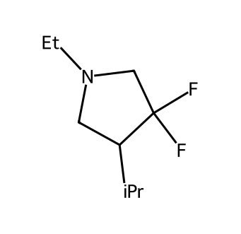 CCN1CC(C(C)C)C(F)(F)C1